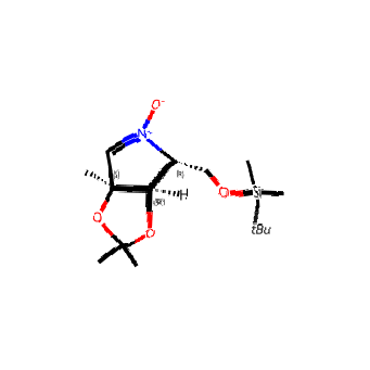 CC1(C)O[C@@H]2[C@@H](CO[Si](C)(C)C(C)(C)C)[N+]([O-])=C[C@]2(C)O1